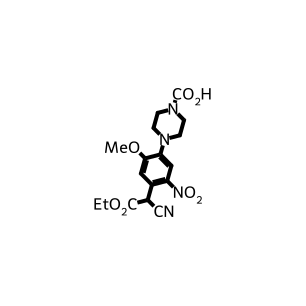 CCOC(=O)C(C#N)c1cc(OC)c(N2CCN(C(=O)O)CC2)cc1[N+](=O)[O-]